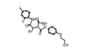 CC(C)C(C(=O)Nc1ccc(I)cc1F)N1C(=O)N[C@H](c2ccc(OCCO)cc2)C1=O